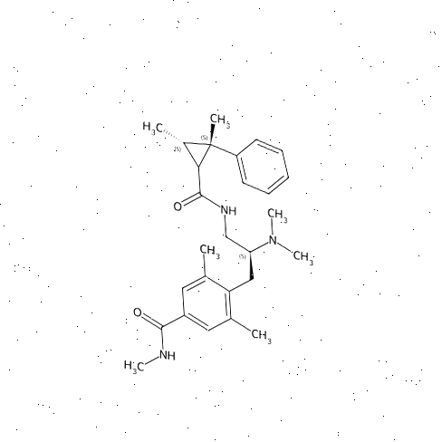 CNC(=O)c1cc(C)c(C[C@@H](CNC(=O)C2[C@H](C)[C@]2(C)c2ccccc2)N(C)C)c(C)c1